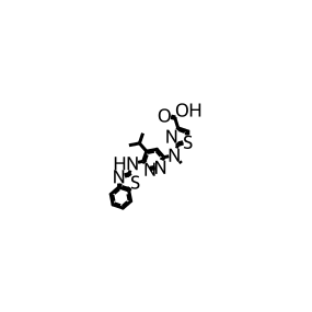 CC(C)c1cc(N(C)c2nc(C(=O)O)cs2)nnc1Nc1nc2ccccc2s1